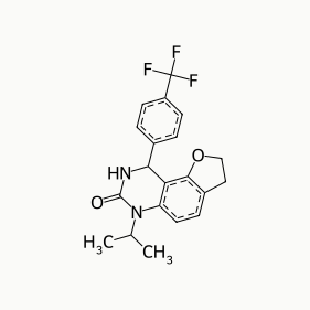 CC(C)N1C(=O)NC(c2ccc(C(F)(F)F)cc2)c2c1ccc1c2OCC1